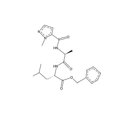 CC(C)C[C@H](NC(=O)[C@H](C)NC(=O)c1ccnn1C)C(=O)OCc1ccccc1